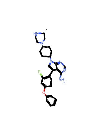 C[C@@H]1CN([C@H]2CC[C@H](n3cc(-c4ccc(Oc5ccccc5)cc4F)c4c(N)ncnc43)CC2)CCN1